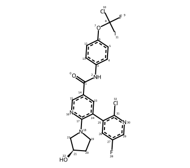 O=C(Nc1ccc(OC(F)(Cl)I)cc1)c1cnc(N2CC[C@@H](O)C2)c(-c2cc(F)cnc2Cl)c1